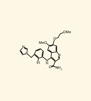 CCc1c(Cn2ccnc2)cccc1Nc1c(C(N)=O)cnc2cc(OCCOC)c(OC)cc12